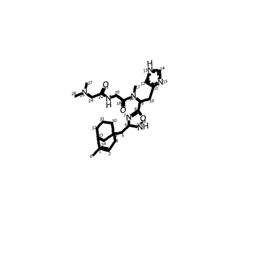 CC1=CCC2(CC3N=C(C(Cc4c[nH]cn4)N(C)C(=O)CNC(=O)CN(C)C)ON3)CCCC1C2